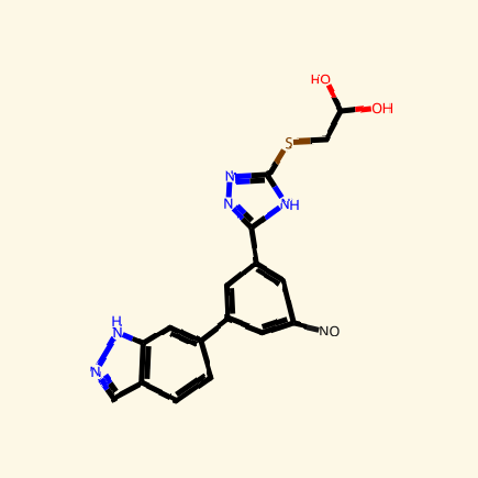 O=Nc1cc(-c2ccc3cn[nH]c3c2)cc(-c2nnc(SCC(O)O)[nH]2)c1